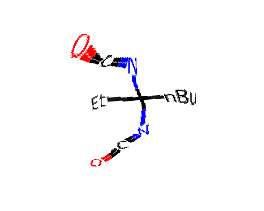 CCCCC(CC)(N=C=O)N=C=O